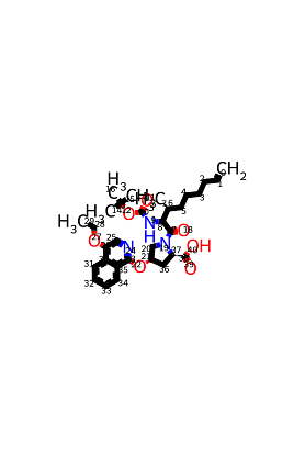 C=CCCCC[C@@H](C)C(NC(=O)OC(C)(C)C)C(=O)N1C[C@H](Oc2ncc(OCC)c3ccccc23)C[C@H]1C(=O)O